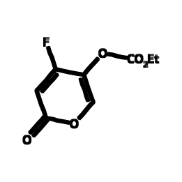 CCOC(=O)Oc1coc(=O)cc1F